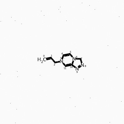 C=CCN1C=CN2CN=NC2=C1